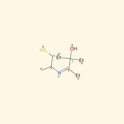 CCC(=NC(C)CS)C(O)(CC)CC